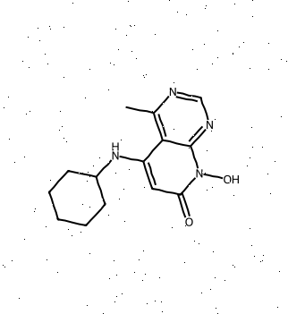 Cc1ncnc2c1c(NC1CCCCC1)cc(=O)n2O